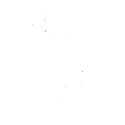 COc1nc(-c2cccc(-c3cccc(NC(=O)c4cn(C)c(=O)n(C)c4=O)c3Cl)c2Cl)cc2c1[C@H](N1CC3(CCC(=O)N3)C1)CC2